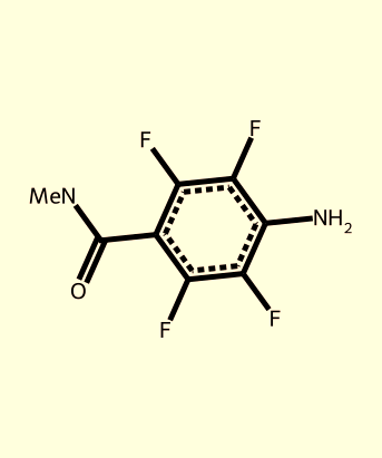 CNC(=O)c1c(F)c(F)c(N)c(F)c1F